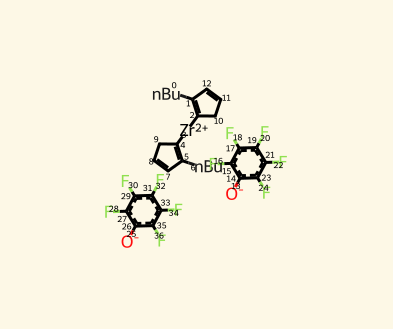 CCCCC1=[C]([Zr+2][C]2=C(CCCC)C=CC2)CC=C1.[O-]c1c(F)c(F)c(F)c(F)c1F.[O-]c1c(F)c(F)c(F)c(F)c1F